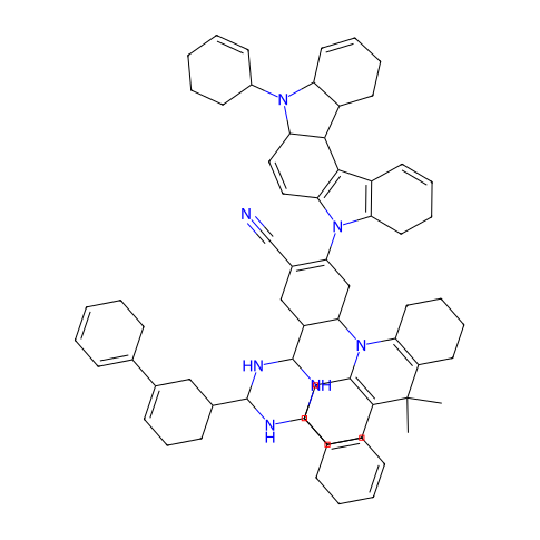 CC1(C)C2=C(CCCC2)N(C2CC(n3c4c(c5c3CCC=C5)C3C5CCC=CC5N(C5C=CCCC5)C3C=C4)=C(C#N)CC2C2NC(C3=CC=CCC3)NC(C3CCC=C(C4=CC=CCC4)C3)N2)C2=C1CCCC2